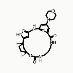 O=C1NCCCNC(=O)c2cc(N3CCOCC3)cc(n2)Nc2cc([nH]n2)[C@H]2CC[C@H](C2)O1